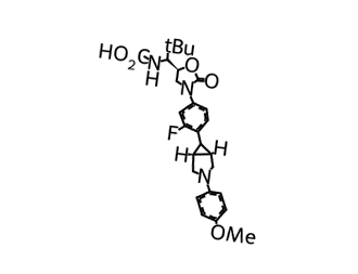 COc1ccc(N2C[C@@H]3C(c4ccc(N5C[C@@H](C(NC(=O)O)C(C)(C)C)OC5=O)cc4F)[C@@H]3C2)cc1